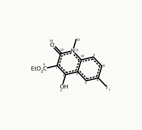 CCOC(=O)c1c(O)c2cc(I)ccc2n(C)c1=O